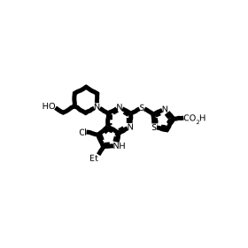 CCc1[nH]c2nc(Sc3nc(C(=O)O)cs3)nc(N3CCCC(CO)C3)c2c1Cl